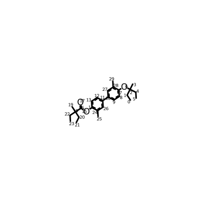 CCC(C)(CC)Oc1ccc(-c2ccc(OC(=O)C(C)(CC)CC)c(C)c2)cc1C